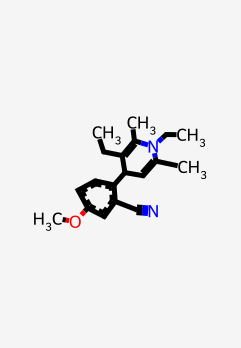 CCC1=C(C)N(CC)C(C)=CC1c1ccc(OC)cc1C#N